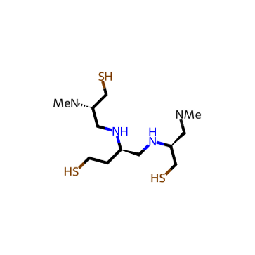 CNC[C@@H](CS)NC[C@@H](CCS)NC[C@@H](CS)NC